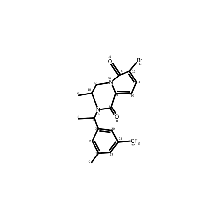 Cc1cc(C(C)N2C(=O)c3ccc(Br)c(=O)n3CC2C)cc(C(F)(F)F)c1